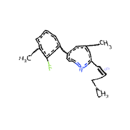 CC/C=C\c1ncc(-c2cccc(C)c2F)cc1C